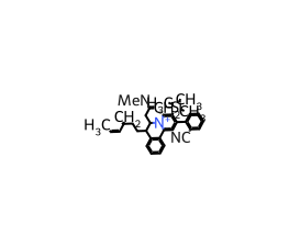 C=C(/C=C\C)CCC1c2ccccc2-c2cc(-c3ccccc3C#N)c([Si](C)(C)C)c[n+]2C1CC(=C)NC